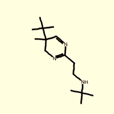 CC(C)(C)NCCC1=NCC(C)(C(C)(C)C)C=N1